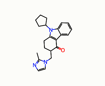 Cc1nccn1CC1CCc2c(c3ccccc3n2C2CCCC2)C1=O